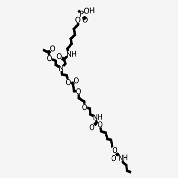 CCCCNC(=O)OCCCCCOC(=O)NCCOCCOCC(=O)OCCN(CCOC(C)=O)CC(=O)NCCCCCCOP(C)(=O)O